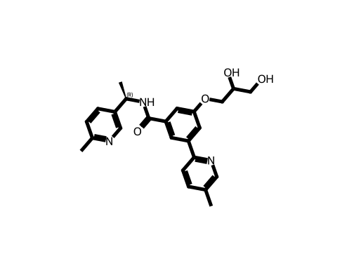 Cc1ccc(-c2cc(OCC(O)CO)cc(C(=O)N[C@H](C)c3ccc(C)nc3)c2)nc1